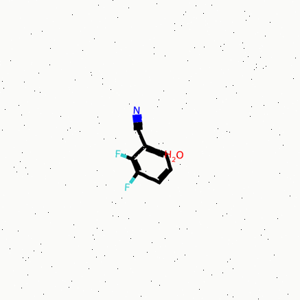 N#Cc1cccc(F)c1F.O